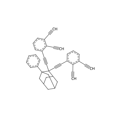 C#Cc1cccc(C#CC2(C#Cc3cccc(C#C)c3C#C)C3CC4CC(C3)CC2(c2ccccc2)C4)c1C#C